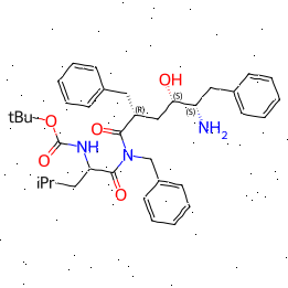 CC(C)CC(NC(=O)OC(C)(C)C)C(=O)N(Cc1ccccc1)C(=O)[C@H](Cc1ccccc1)C[C@H](O)[C@@H](N)Cc1ccccc1